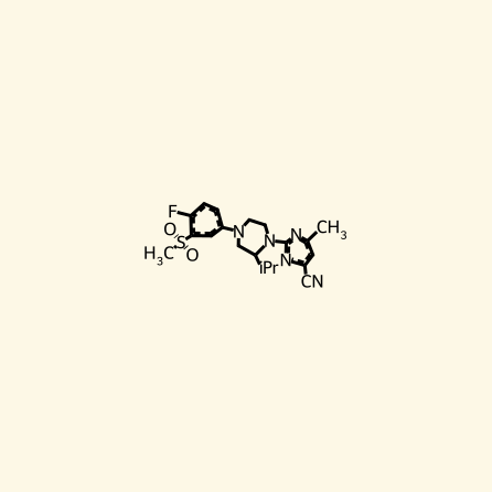 Cc1cc(C#N)nc(N2CCN(c3ccc(F)c(S(C)(=O)=O)c3)CC2C(C)C)n1